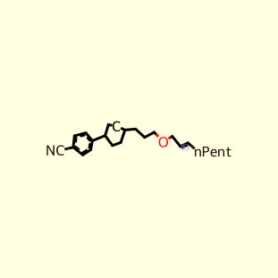 CCCCC/C=C/COCCCC1CCC(c2ccc(C#N)cc2)CC1